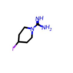 N=C(N)N1CCC(I)CC1